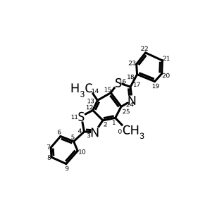 Cc1c2nc(-c3ccccc3)sc2c(C)c2sc(-c3ccccc3)nc12